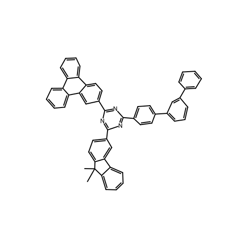 CC1(C)c2ccccc2-c2cc(-c3nc(-c4ccc(-c5cccc(-c6ccccc6)c5)cc4)nc(-c4ccc5c6ccccc6c6ccccc6c5c4)n3)ccc21